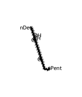 CCCCC/C=C\C/C=C\CCCCCCCC(=O)CCCCCCCCCCCCCCCC(=O)NC[C@@H](O)CCCCCCCCCCCCCCCC